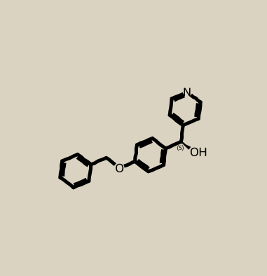 O[C@H](c1ccncc1)c1ccc(OCc2ccccc2)cc1